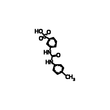 Cc1ccc(NC(=O)Nc2cccc(S(=O)(=O)O)c2)cc1